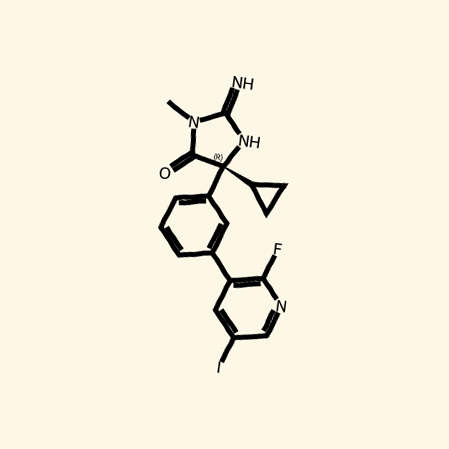 CN1C(=N)N[C@@](c2cccc(-c3cc(I)cnc3F)c2)(C2CC2)C1=O